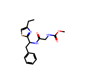 CCc1csc(C(Cc2cc[c]cc2)NC(=O)CNC(=O)OC)n1